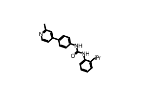 Cc1cc(-c2ccc(NC(=O)Nc3ccccc3C(C)C)cc2)ccn1